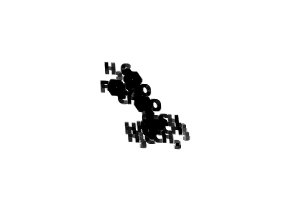 Cc1ccc(C(=O)Nc2ccn(COP(=O)(OC(C)(C)C)OC(C)(C)C)c(=O)c2)c(Oc2ccc(F)cc2C)c1